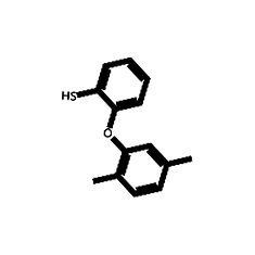 Cc1ccc(C)c(Oc2ccccc2S)c1